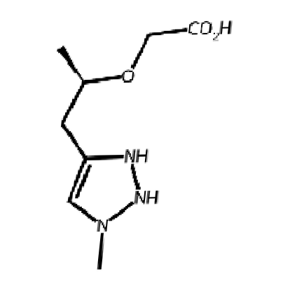 C[C@H](CC1=CN(C)NN1)OCC(=O)O